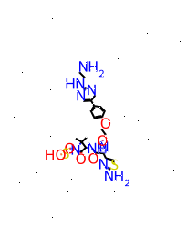 CC1(C)C(NC(=O)/C(=N\OCCOc2ccc(-c3cnc(NCCN)nc3)cc2)c2csc(N)n2)C(=O)N1OSO